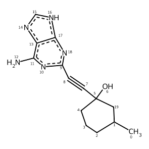 CC1CCCC(O)(C#Cc2nc(N)c3nc[nH]c3n2)C1